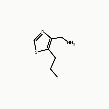 NCc1ncsc1CCI